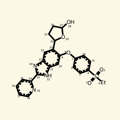 CCS(=O)(=O)c1ccc(Oc2cc3[nH]c(-c4ccccn4)nc3cc2C2CCC(O)O2)cc1